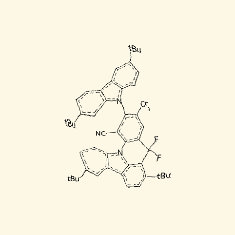 CC(C)(C)c1ccc2c(c1)c1ccc(C(C)(C)C)cc1n2-c1c(C(F)(F)F)cc2c(c1C#N)-n1c3ccc(C(C)(C)C)cc3c3ccc(C(C)(C)C)c(c31)C2(F)F